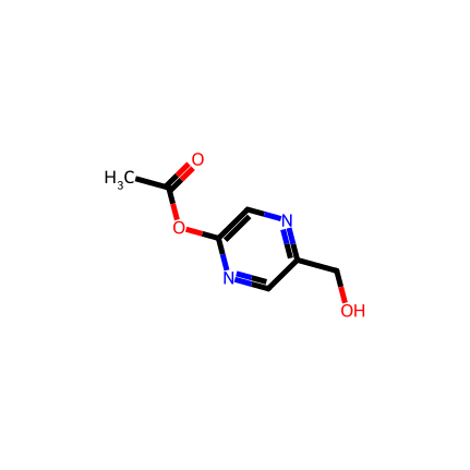 CC(=O)Oc1cnc(CO)cn1